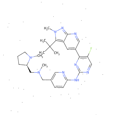 CN(Cc1ccc(Nc2ncc(F)c(-c3cnc4nn(C)c(C(C)(C)C)c4c3)n2)nc1)C[C@H]1CCCN1C